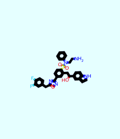 NCCN(c1ccccc1)S(=O)(=O)c1ccc(-c2noc(Cc3ccc(F)c(F)c3)n2)cc1CC(O)c1ccc2[nH]ccc2c1